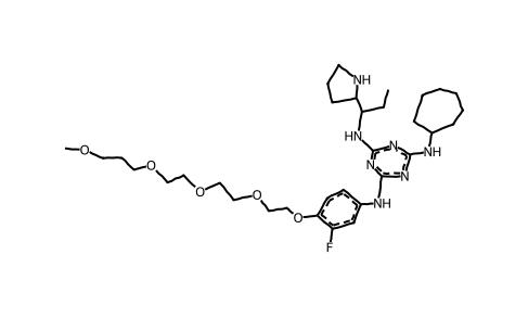 CCC(Nc1nc(Nc2ccc(OCCOCCOCCOCCCOC)c(F)c2)nc(NC2CCCCCC2)n1)C1CCCN1